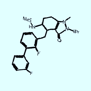 CSNC1CCc2c(c(=O)n(C(C)C)n2C)C1Cc1cccc(-c2cccc(F)c2)c1F